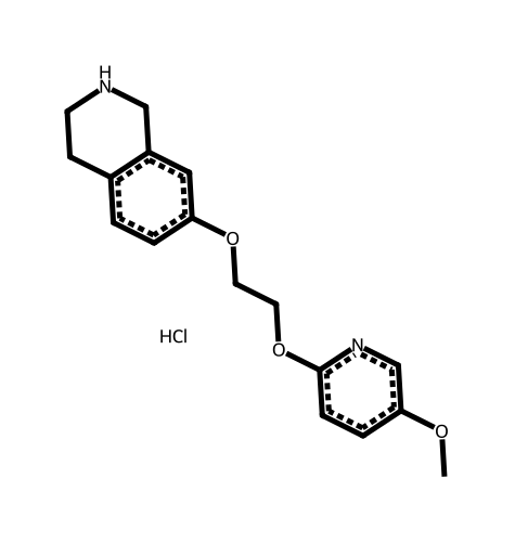 COc1ccc(OCCOc2ccc3c(c2)CNCC3)nc1.Cl